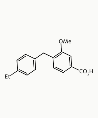 CCc1ccc(Cc2ccc(C(=O)O)cc2OC)cc1